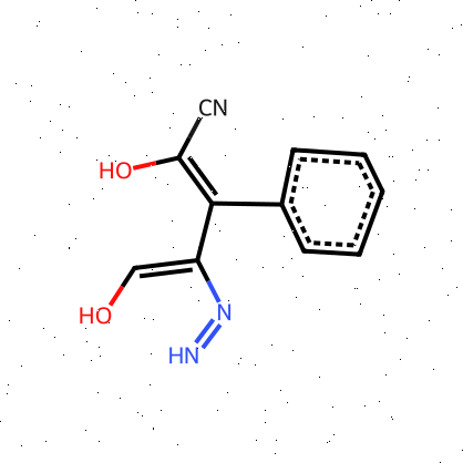 N#C/C(O)=C(/C(=C/O)N=N)c1ccccc1